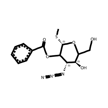 CS[C@@H]1OC(CO)[C@@H](O)[C@H](N=[N+]=[N-])C1OC(=O)c1ccccc1